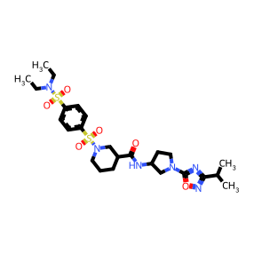 CCN(CC)S(=O)(=O)c1ccc(S(=O)(=O)N2CCCC(C(=O)NC3CCN(c4nc(C(C)C)no4)C3)C2)cc1